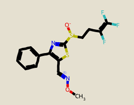 CO/N=C/c1sc([S+]([O-])CCC(F)=C(F)F)nc1-c1ccccc1